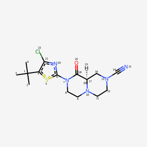 CC(C)(C)c1sc(N2CCN3CCN(C#N)C[C@@H]3C2=O)nc1Cl